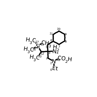 CCN(CC(N)(CC1CCCCC1)C(C)[Si](C)(C)C)C(=O)O